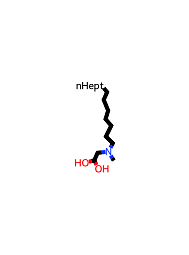 CCCCCCCCCCCCCCN(C)CC(O)O